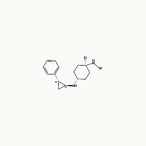 CC[C@]1(NC(C)C)CC[C@H](N[C@H]2C[C@@H]2c2ccccc2)CC1